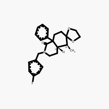 C[C@H]1[C@@H]2CCN(Cc3ccc(F)cc3)C(=O)C2(c2ccccc2)CCC12OCCO2